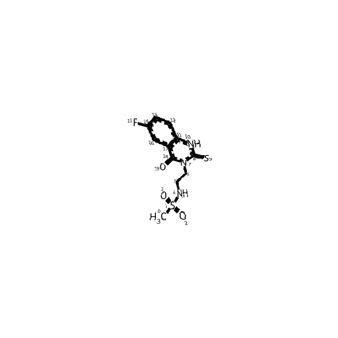 CS(=O)(=O)NCCn1c(=S)[nH]c2ccc(F)cc2c1=O